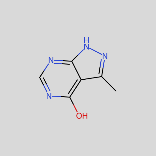 Cc1n[nH]c2ncnc(O)c12